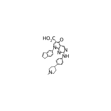 CN1CCC(c2ccc(Nc3ncc4c(=O)c(C(=O)O)cn(-c5ccc6c(c5)C=CC6)c4n3)cc2)CC1